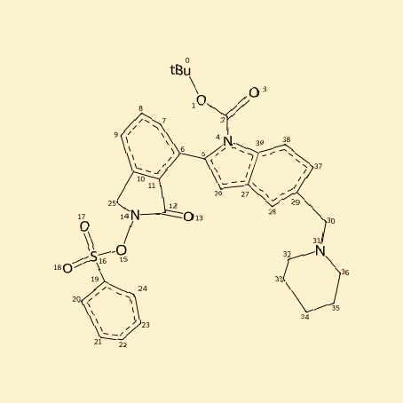 CC(C)(C)OC(=O)n1c(-c2cccc3c2C(=O)N(OS(=O)(=O)c2ccccc2)C3)cc2cc(CN3CCCCC3)ccc21